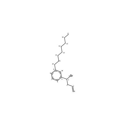 C=CCC(Br)c1cccc(CCCCCCCC)c1